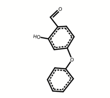 O=Cc1ccc(Oc2ccccc2)cc1O